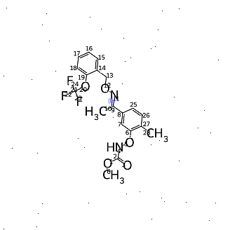 COC(=O)NOc1cc(/C(C)=N/OCc2ccccc2OC(F)(F)F)ccc1C